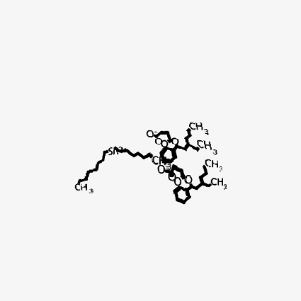 CCCCC(CC)CC(OC(=O)/C=C\C(=O)[O-])c1ccccc1.CCCCC(CC)CC(OC(=O)/C=C\C(=O)[O-])c1ccccc1.CCCCCCC[CH2][Sn+2][CH2]CCCCCCC